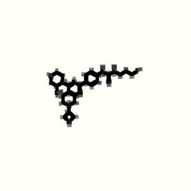 C[C@H]1COCCN1c1nc(-c2ccc(NC(=O)NCCCF)cc2)nc2c1CCN(C1COC1)C2